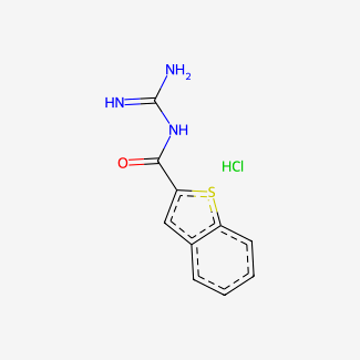 Cl.N=C(N)NC(=O)c1cc2ccccc2s1